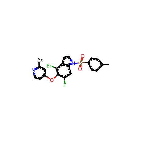 CC(=O)c1cc(Oc2c(F)cc3c(ccn3S(=O)(=O)c3ccc(C)cc3)c2Br)ccn1